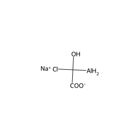 O=C([O-])[C](O)([AlH2])Cl.[Na+]